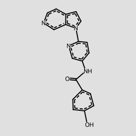 O=C(Nc1ccc(-n2ccc3ccncc32)nc1)c1ccc(O)cc1